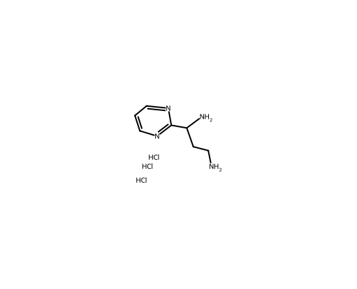 Cl.Cl.Cl.NCCC(N)c1ncccn1